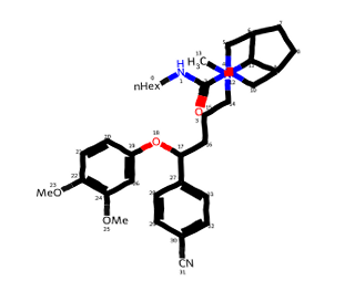 CCCCCCNC(=O)N1CC2CCC(C1)C2N(C)CCCC(Oc1ccc(OC)c(OC)c1)c1ccc(C#N)cc1